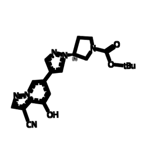 CC(C)(C)OC(=O)N1CC[C@H](n2cc(-c3cc(O)c4c(C#N)cnn4c3)cn2)C1